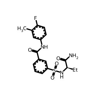 CC[C@@H](NS(=O)(=O)c1cccc(C(=O)Nc2ccc(F)c(C)c2)c1)C(N)=O